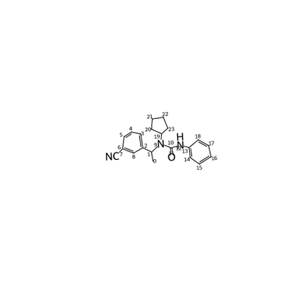 CC(c1cccc(C#N)c1)N(C(=O)Nc1ccccc1)C1CCCC1